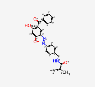 C=C(C)C(=O)NCc1ccc(N=Nc2cc(C(=O)c3ccccc3)c(O)cc2O)cc1